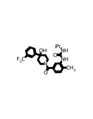 Cc1ccc(C(=O)N2CCC(O)(c3cccc(C(F)(F)F)c3)CC2)cc1NC(=O)NC(C)C